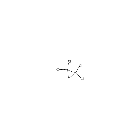 ClC1(Cl)CC1(Cl)Cl